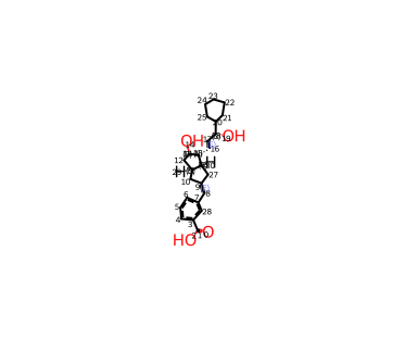 O=C(O)c1cccc(/C=C2\C[C@H]3C[C@@H](O)[C@H](/C=C/[C@@H](O)C4CCCCC4)[C@H]3C2)c1